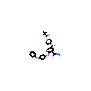 CC(C)(C)C(=O)ON1CCC(Nc2cnc(Oc3ccc(Oc4ccccc4)cc3)c(C(N)=O)c2)CC1